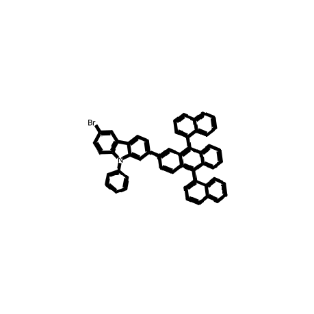 Brc1ccc2c(c1)c1ccc(-c3ccc4c(-c5cccc6ccccc56)c5ccccc5c(-c5cccc6ccccc56)c4c3)cc1n2-c1ccccc1